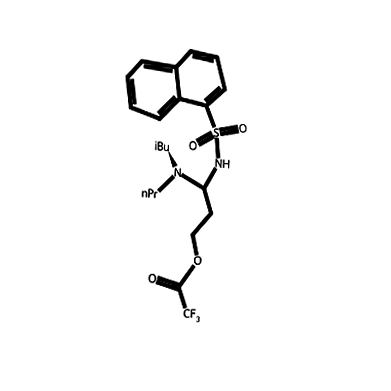 CCCN(C(CCOC(=O)C(F)(F)F)NS(=O)(=O)c1cccc2ccccc12)[C@H](C)CC